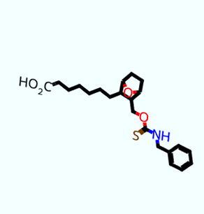 O=C(O)CCCCCCC1C2CCC(O2)C1COC(=S)NCc1ccccc1